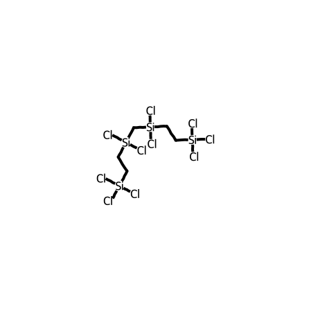 Cl[Si](Cl)(Cl)CC[Si](Cl)(Cl)C[Si](Cl)(Cl)CC[Si](Cl)(Cl)Cl